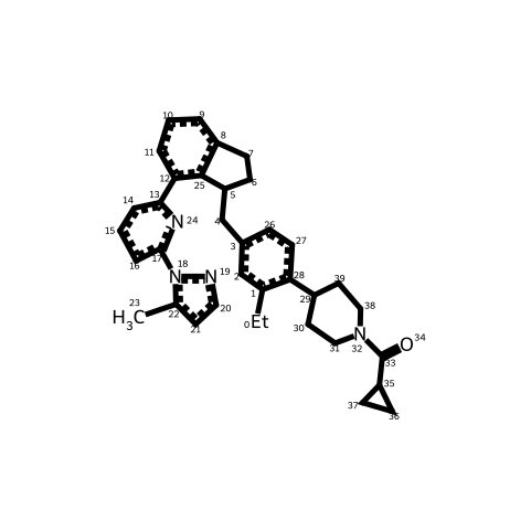 CCc1cc(CC2CCc3cccc(-c4cccc(-n5nccc5C)n4)c32)ccc1C1CCN(C(=O)C2CC2)CC1